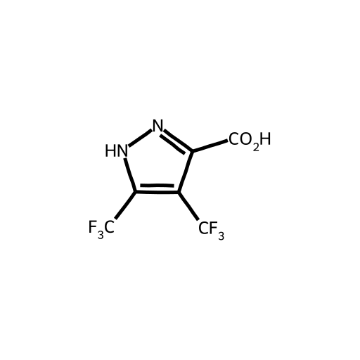 O=C(O)c1n[nH]c(C(F)(F)F)c1C(F)(F)F